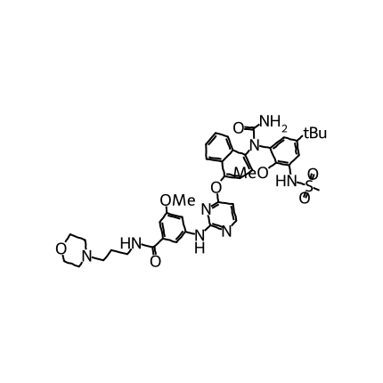 COc1cc(Nc2nccc(Oc3ccc(N(C(N)=O)c4cc(C(C)(C)C)cc(NS(C)(=O)=O)c4OC)c4ccccc34)n2)cc(C(=O)NCCCN2CCOCC2)c1